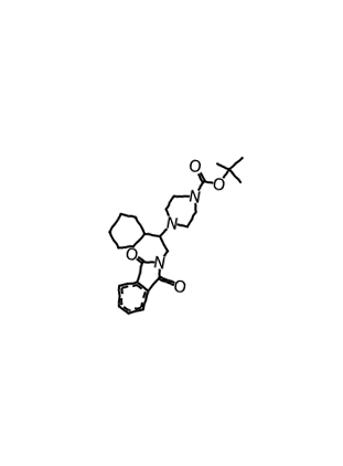 CC(C)(C)OC(=O)N1CCN(C(CN2C(=O)c3ccccc3C2=O)C2CCCCC2)CC1